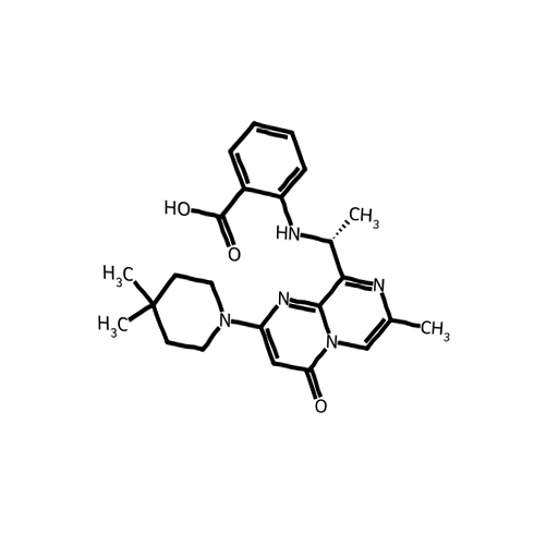 Cc1cn2c(=O)cc(N3CCC(C)(C)CC3)nc2c([C@@H](C)Nc2ccccc2C(=O)O)n1